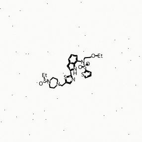 CCOCCN(c1cccc2cc(-c3ncc(CN4CCN([S+]([O-])CC)CC4)s3)[nH]c12)S(=O)(=O)c1cccs1